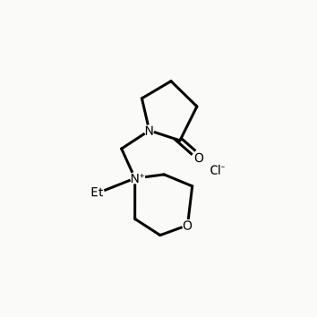 CC[N+]1(CN2CCCC2=O)CCOCC1.[Cl-]